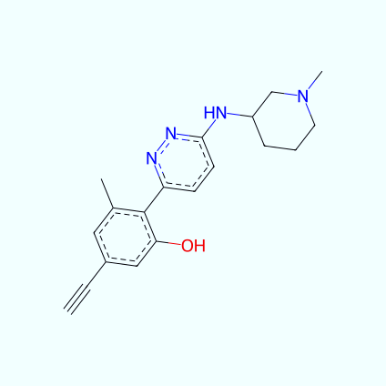 C#Cc1cc(C)c(-c2ccc(NC3CCCN(C)C3)nn2)c(O)c1